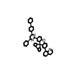 c1ccc(-c2ccc(-c3cc(-c4ccccc4)nc(-c4ccc5c(c4)C4(c6cc(-c7cccc8cccnc78)ccc6O5)c5ccccc5-c5ccccc54)n3)cc2)cc1